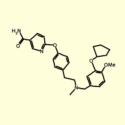 COc1ccc(CN(C)CCc2ccc(Oc3ccc(C(N)=O)cn3)cc2)cc1OC1CCCC1